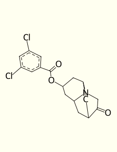 O=C(OC1CC2CC3CC(C1)N2CC3=O)c1cc(Cl)cc(Cl)c1